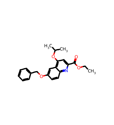 CCOC(=O)c1cc(OC(C)C)c2cc(OCc3ccccc3)ccc2n1